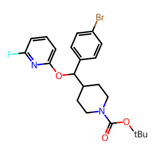 CC(C)(C)OC(=O)N1CCC(C(Oc2cccc(F)n2)c2ccc(Br)cc2)CC1